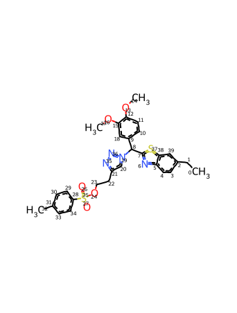 CCc1ccc2nc(C(c3ccc(OC)c(OC)c3)n3cc(CCOS(=O)(=O)c4ccc(C)cc4)nn3)sc2c1